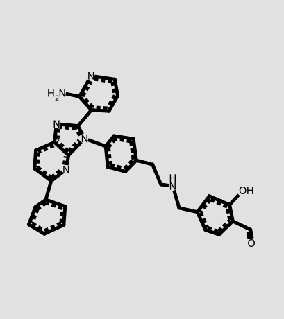 Nc1ncccc1-c1nc2ccc(-c3ccccc3)nc2n1-c1ccc(CCNCc2ccc(C=O)c(O)c2)cc1